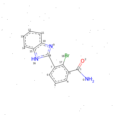 NC(=O)c1cccc(-c2nc3ccccc3[nH]2)c1Br